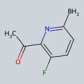 Bc1ccc(F)c(C(C)=O)n1